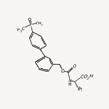 CC(C)C(NC(=O)OCc1cccc(-c2ccc(P(C)(C)=O)cc2)c1)C(=O)O